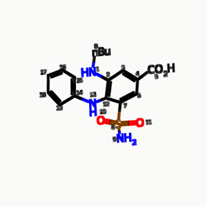 CCCCNc1cc(C(=O)O)cc(S(N)(=O)=O)c1Nc1ccccc1